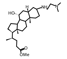 COC(=O)CC[C@@H](C)[C@H]1CCC2C3C(CC[C@@]21C)[C@@]1(C)CCC(NCCN(C)C)C[C@H]1C[C@H]3O